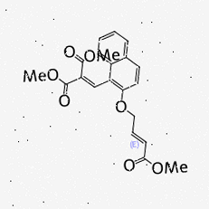 COC(=O)/C=C/COc1ccc2ccccc2c1C=C(C(=O)OC)C(=O)OC